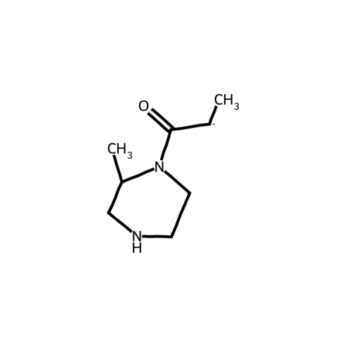 C[CH]C(=O)N1CCNCC1C